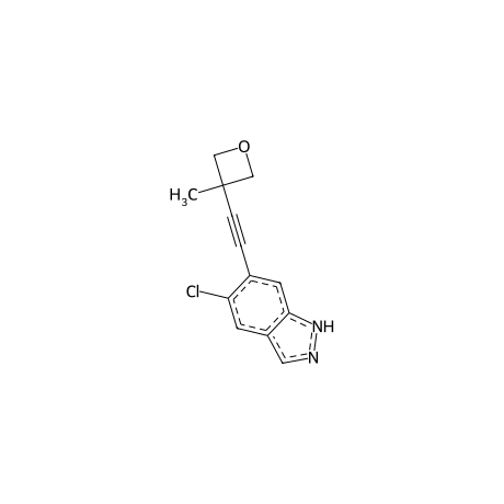 CC1(C#Cc2cc3[nH]ncc3cc2Cl)COC1